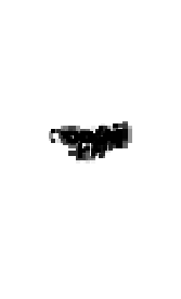 Cl.O=C(OCC(Cl)(Cl)Cl)N1CCNC[C@H]1Cc1ccc(-c2ccc(Cl)cc2)cc1